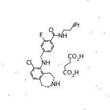 CC(C)CCNC(=O)c1ccc(CNc2c(Cl)ccc3c2CCNCC3)cc1F.O=C(O)CCC(=O)O